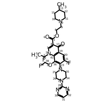 CCn1cc(C(=O)OCCN2CCC(C)CC2)c(=O)c2cc(F)c(N3CCN(c4ncccn4)CC3)c(OC(F)F)c21